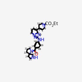 CCOC(=O)N1CC=C(c2cccn3nc(Nc4ccc(C(=O)N5CCCC56CCNC6)cc4)nc23)CC1